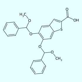 COC(Oc1cc2cc(C(=O)O)sc2cc1OC(OC)c1ccccc1)c1ccccc1